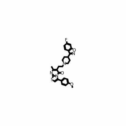 COc1ccc(-c2csc3nc(C)c(CCN4CCC(c5noc6cc(F)ccc56)CC4)c(=O)n23)cc1